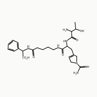 CC(O)C(N)C(=O)NC(CC1=CCN(C(=N)N)C1)C(=O)NCCCCC(=O)NC(C(=O)O)c1ccccc1